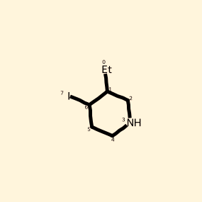 CCC1CNCCC1I